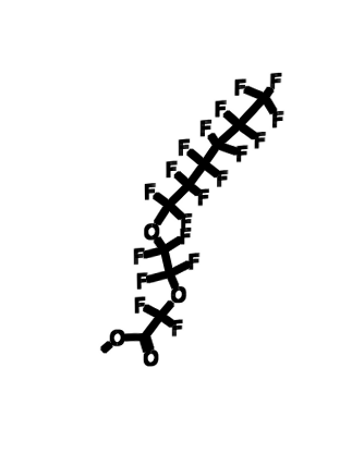 COC(=O)C(F)(F)OC(F)(F)C(F)(F)OC(F)(F)C(F)(F)C(F)(F)C(F)(F)C(F)(F)C(F)(F)F